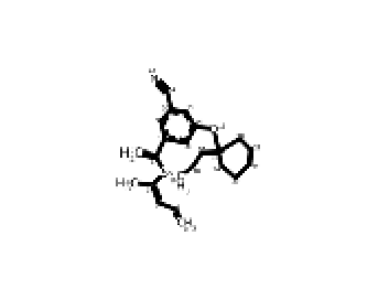 C=C/C=C(/C)SC(=C)c1cc(C#N)cc(OC2(CCC)CCCCC2)c1